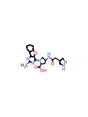 Cc1nc(N2CC(NC(=O)Cc3cn[nH]c3)CC2C(=O)O)c2oc3ccccc3c2n1